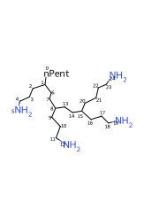 CCCCCC(CCCN)CCC(CCCN)CCC(CCCN)CCCCN